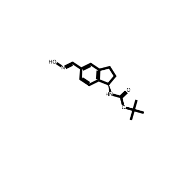 CC(C)(C)OC(=O)N[C@@H]1CCc2cc(/C=N/O)ccc21